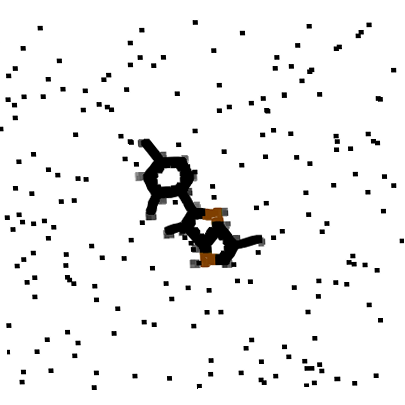 Cc1ccc(-c2sc3c(C)csc3c2C)c(C)c1